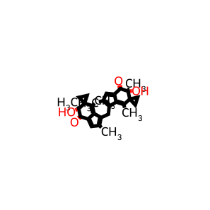 CC1=C(CC2=C(C)C=C3C(=O)[C@](C)(O)C4(CC4)C(C)=C32)C2=C(C)C3(CC3)[C@@](C)(O)C(=O)C2=C1